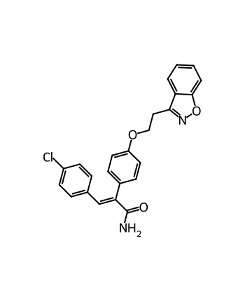 NC(=O)/C(=C/c1ccc(Cl)cc1)c1ccc(OCCc2noc3ccccc23)cc1